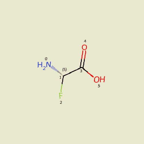 N[C@@H](F)C(=O)O